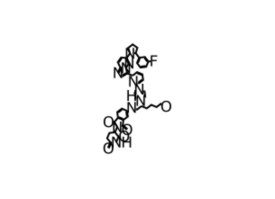 O=CCCCC(CNc1ccc2c(c1)C(=O)N(C1CCC(=O)NC1=O)C2=O)N1CCN(c2cccc(-c3cnc4ccc(N5CCCC5c5cccc(F)c5)nn34)n2)CC1